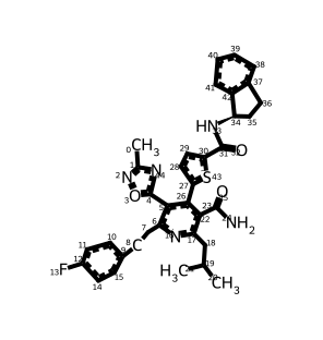 Cc1noc(-c2c(CCc3ccc(F)cc3)nc(CC(C)C)c(C(N)=O)c2-c2ccc(C(=O)N[C@@H]3CCc4ccccc43)s2)n1